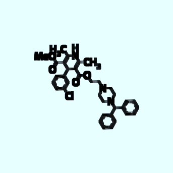 COC(=O)C1=C(C)NC(C)=C(C(=O)OCCN2CCN(C(c3ccccc3)c3ccccc3)CC2)C1c1cccc(Cl)c1